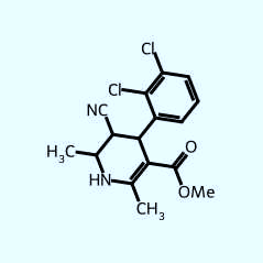 COC(=O)C1=C(C)NC(C)C(C#N)C1c1cccc(Cl)c1Cl